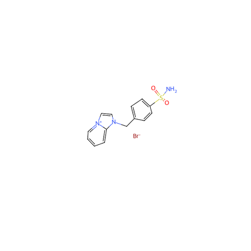 NS(=O)(=O)c1ccc(Cn2cc[n+]3ccccc23)cc1.[Br-]